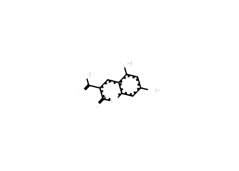 Cc1cc(O)cc2oc(=O)c(C(=O)O)cc12